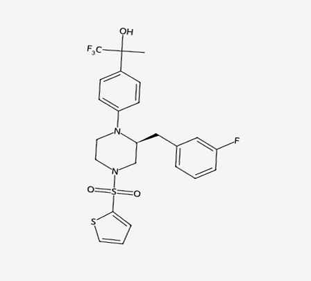 CC(O)(c1ccc(N2CCN(S(=O)(=O)c3cccs3)C[C@@H]2Cc2cccc(F)c2)cc1)C(F)(F)F